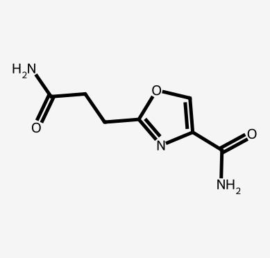 NC(=O)CCc1nc(C(N)=O)co1